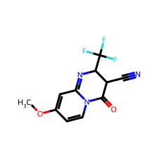 COC1=CC2=NC(C(F)(F)F)C(C#N)C(=O)N2C=C1